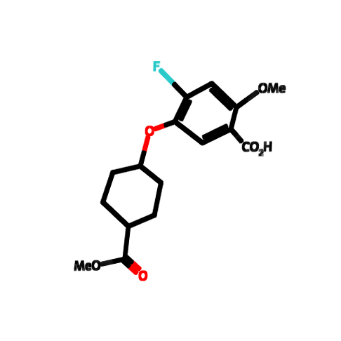 COC(=O)C1CCC(Oc2cc(C(=O)O)c(OC)cc2F)CC1